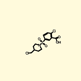 O=C(O)c1cc(S(=O)(=O)N2CCC(CCl)CC2)ccc1Cl